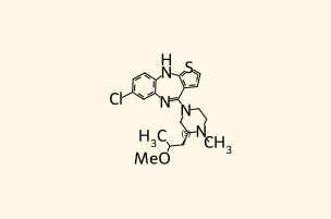 COC(C)C[C@H]1CN(C2=Nc3cc(Cl)ccc3Nc3sccc32)CCN1C